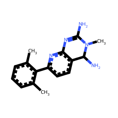 Cc1cccc(C)c1-c1ccc2c(n1)N=C(N)N(C)C2N